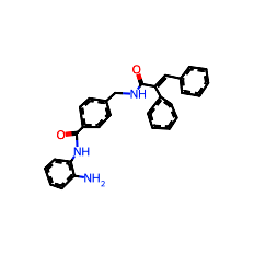 Nc1ccccc1NC(=O)c1ccc(CNC(=O)C(=Cc2ccccc2)c2ccccc2)cc1